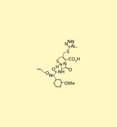 C=CCO/N=C(\C(=O)NC1C(=O)N2C(C(=O)O)=C(CSc3nnnn3C)CS[C@H]12)c1cccc(OC)c1